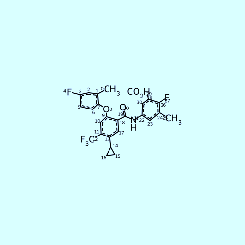 Cc1cc(F)ccc1Oc1cc(C(F)(F)F)c(C2CC2)cc1C(=O)Nc1cc(C)c(F)c(C(=O)O)c1